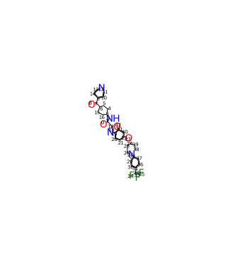 O=C(NC1CCC(C(=O)c2ccncc2)CC1)c1nc2ccc(OC3CCN(c4ccc(C(F)(F)F)cc4)CC3)cc2o1